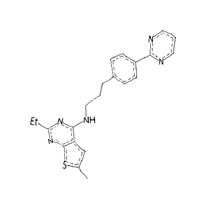 CCc1nc(NCCCc2ccc(-c3ncccn3)cc2)c2cc(C)sc2n1